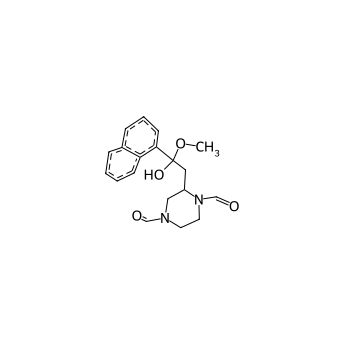 COC(O)(CC1CN(C=O)CCN1C=O)c1cccc2ccccc12